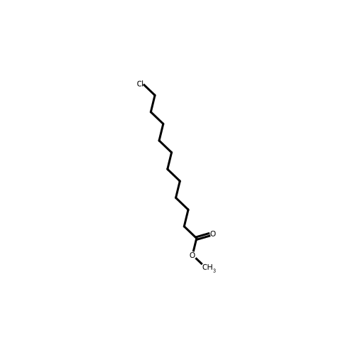 COC(=O)CCCCCCCCCCCl